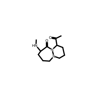 CNC1CCCN2CCCC(C(C)=O)N2C1=O